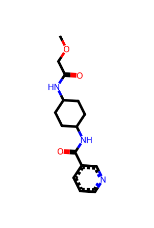 COCC(=O)NC1CCC(NC(=O)c2cccnc2)CC1